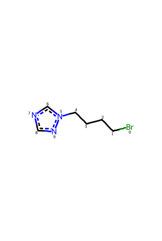 BrCCCCn1cncn1